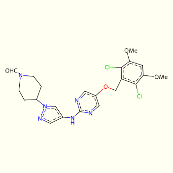 COc1cc(OC)c(Cl)c(COc2cnc(Nc3cnn(C4CCN(C=O)CC4)c3)nc2)c1Cl